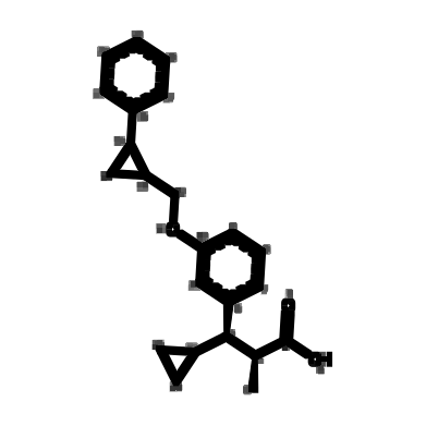 C[C@H](C(=O)O)[C@H](c1cccc(OCC2CC2c2ccccc2)c1)C1CC1